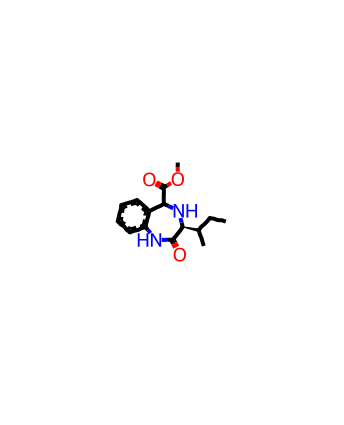 CCC(C)[C@@H]1NC(C(=O)OC)c2ccccc2NC1=O